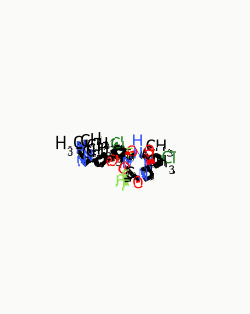 COC[C@@H]1NC(=O)[C@H](C)N(Cc2c(F)cc(Cl)cc2Oc2ccc(-c3cnc(CN(C)C(C)(C)C)n3C)cc2)C(=O)C[C@@H](CC(F)(F)F)C(=O)N2CCC[C@@](Cc3ccc(Cl)cc3)(C2)N(C)C1=O